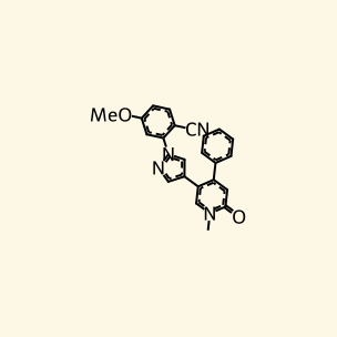 COc1ccc(C#N)c(-n2cc(-c3cn(C)c(=O)cc3-c3ccccc3)cn2)c1